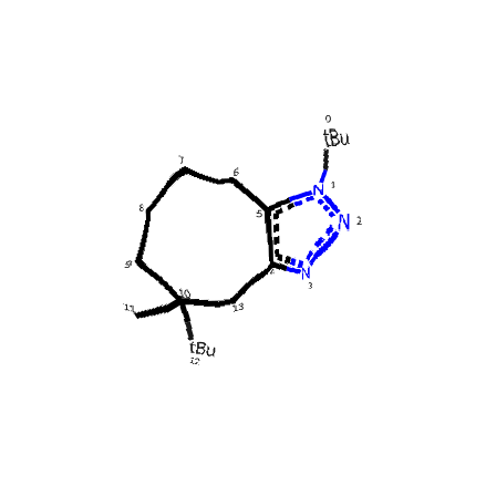 CC(C)(C)n1nnc2c1CCCCC(C)(C(C)(C)C)C2